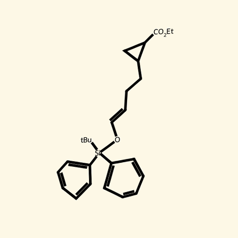 CCOC(=O)C1CC1CCC=CO[Si](c1ccccc1)(c1ccccc1)C(C)(C)C